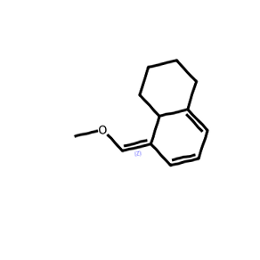 CO/C=C1/C=CC=C2CCCCC21